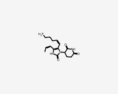 C/C=C\c1[nH]c(=O)n(C2CCC(=O)NC2=O)c1/C=C\CCCP